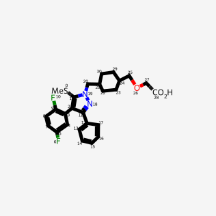 CSc1c(-c2cc(F)ccc2F)c(-c2ccccc2)nn1CC1CCC(COCC(=O)O)CC1